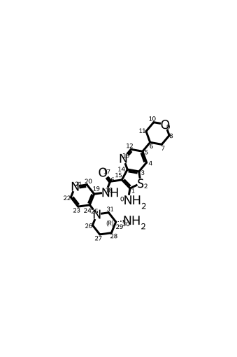 Nc1sc2cc(C3CCOCC3)cnc2c1C(=O)Nc1cnccc1N1CCC[C@@H](N)C1